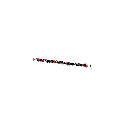 COP(#P)P=PP=PP=PP=PP=PP=PP=PP=PP=PP=PP=PP=PP=PP=PP=PP=PP=PP=PP=PP=PP=PP=PP=PP=PP=PP=PP=P